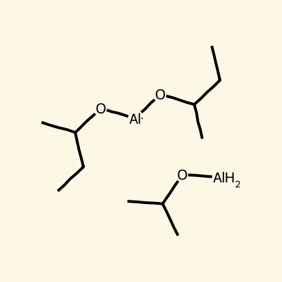 CC(C)[O][AlH2].CCC(C)[O][Al][O]C(C)CC